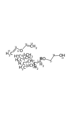 C=C.C=C.C=C.C=C.C=C.C=COC=C.OCCO